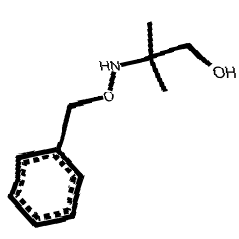 CC(C)(CO)NOCc1ccccc1